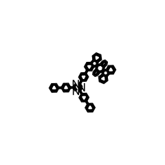 c1ccc(-c2ccc(-c3nc(-c4ccc(-c5ccccc5)cc4)nc(-c4ccc(-c5ccc6c(c5)C5(c7ccccc7-6)c6ccccc6C6(c7ccccc7-c7ccccc76)c6ccccc65)cc4)n3)cc2)cc1